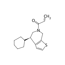 C=CC(=O)N1Cc2sccc2[C@@H](C2CCCCC2)C1